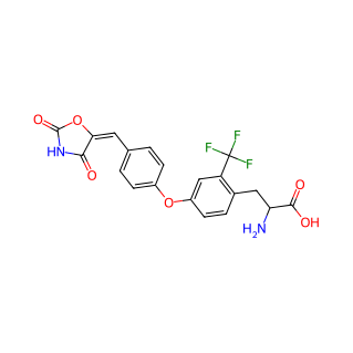 NC(Cc1ccc(Oc2ccc(/C=C3/OC(=O)NC3=O)cc2)cc1C(F)(F)F)C(=O)O